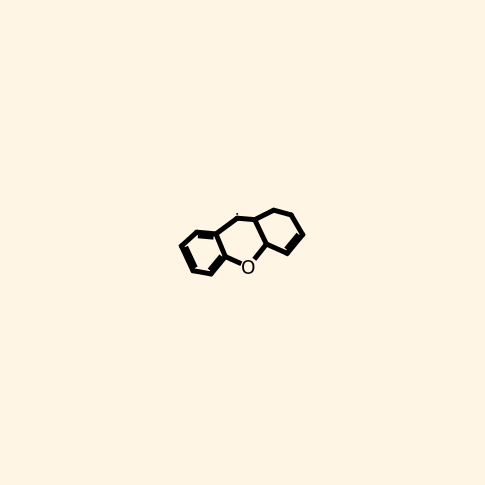 [CH]1c2ccccc2OC2C=CCCC12